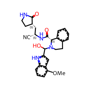 COc1cccc2[nH]c(C(O)N3CCc4ccccc4[C@H]3C(=O)N[C@H](C#N)C[C@@H]3CCNC3=O)cc12